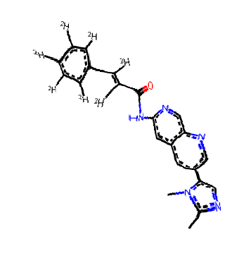 [2H]/C(C(=O)Nc1cc2cc(-c3cnc(C)n3C)cnc2cn1)=C(/[2H])c1c([2H])c([2H])c([2H])c([2H])c1[2H]